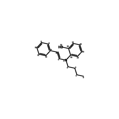 CCCCN(C=Cc1ccccc1)c1ccccc1O